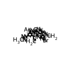 C=CCCc1cc(-c2cnc(C)nc2)cc2c(C(C)=O)nn(CC(=O)N3[C@H](C(=O)Nc4cccc(Br)n4)C[C@@]4(COCC=C)C[C@@H]34)c12